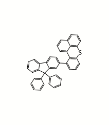 c1ccc(C2(c3ccccc3)c3ccccc3-c3ccc(-c4cccc5c4-c4cccc6cccc(c46)S5)cc32)cc1